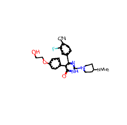 CNC1CCN(c2nc(-c3ccc(C#N)c(F)c3)c(-c3ccc(OCCO)cc3)c(=O)[nH]2)CC1